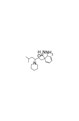 CC(C)CC(CCC1(C(N)=O)C=CC=CC1N)N1CCCCC1